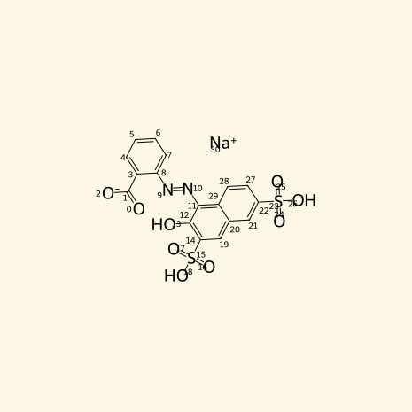 O=C([O-])c1ccccc1N=Nc1c(O)c(S(=O)(=O)O)cc2cc(S(=O)(=O)O)ccc12.[Na+]